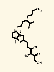 CCCC[C@H](CCC[C@H]1CC[C@@H]2OC(CCC(O)=C(O)C(=O)CO)C[C@H]12)C(F)F